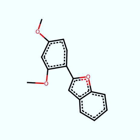 COc1ccc(-c2cc3ccccc3o2)c(OC)c1